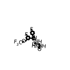 O=C1NC[C@H](C(=O)Nc2cc(-c3cc(F)cc(COCC(F)(F)F)c3)n(-c3ccc(F)cc3)n2)N1